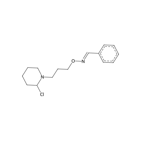 ClC1CCCCN1CCCON=Cc1ccccc1